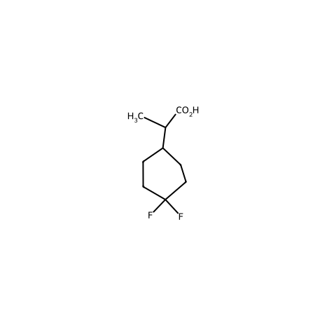 CC(C(=O)O)C1CCC(F)(F)CC1